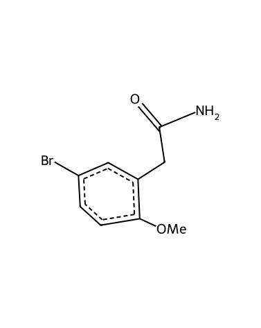 COc1ccc(Br)cc1CC(N)=O